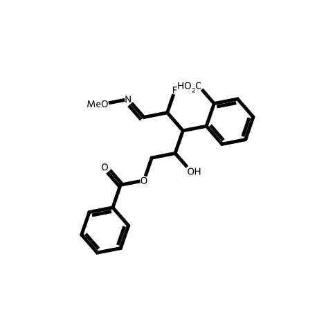 CO/N=C/C(F)C(c1ccccc1C(=O)O)C(O)COC(=O)c1ccccc1